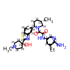 CCc1cc(NC(=O)C(=O)N2C[C@@H](C)CC[C@@H]2c2ccc3sc(C4(O)CCN(C)CC4)nc3c2)cnc1N